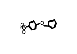 O=[SH](=O)c1ccc(OCc2ccccc2)cc1